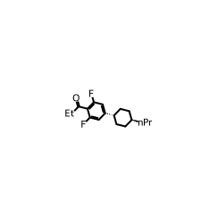 CCC[C@H]1CC[C@H](c2cc(F)c(C(=O)CC)c(F)c2)CC1